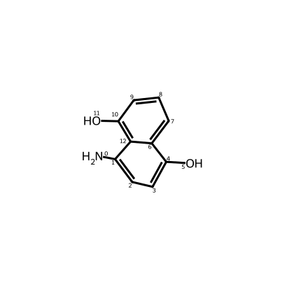 Nc1ccc(O)c2cccc(O)c12